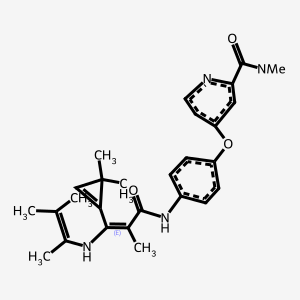 CNC(=O)c1cc(Oc2ccc(NC(=O)/C(C)=C(/NC(C)=C(C)C)C3=CC3(C)C)cc2)ccn1